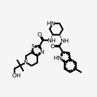 Cc1ccc2[nH]c(C(=O)N[C@H]3CCNC[C@H]3NC(=O)c3nc4c(s3)CN(C(C)(C)CO)CC4)cc2c1